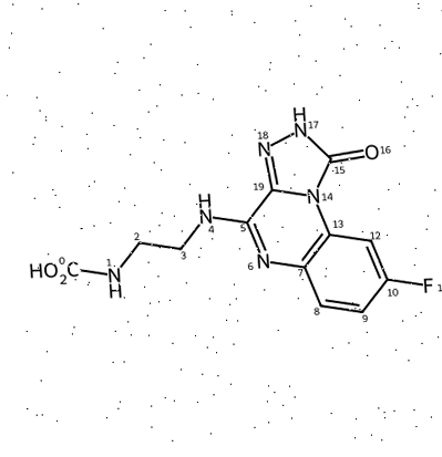 O=C(O)NCCNc1nc2ccc(F)cc2n2c(=O)[nH]nc12